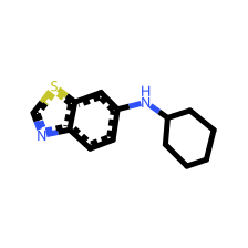 c1nc2ccc(NC3CCCCC3)cc2s1